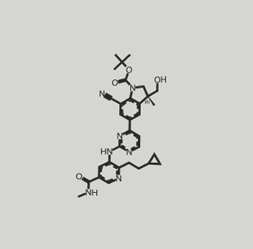 CNC(=O)c1cnc(CCC2CC2)c(Nc2nccc(-c3cc(C#N)c4c(c3)[C@@](C)(CO)CN4C(=O)OC(C)(C)C)n2)c1